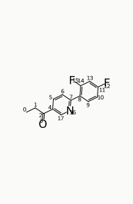 CCC(=O)c1ccc(-c2ccc(F)cc2F)nc1